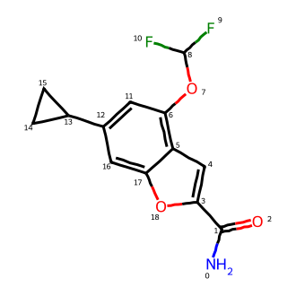 NC(=O)c1cc2c(OC(F)F)cc(C3CC3)cc2o1